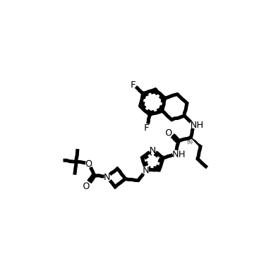 CCC[C@H](NC1CCc2cc(F)cc(F)c2C1)C(=O)Nc1cn(CC2CN(C(=O)OC(C)(C)C)C2)cn1